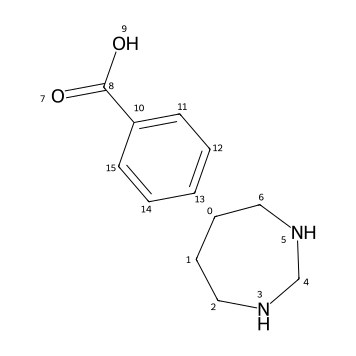 C1CCNCNC1.O=C(O)c1ccccc1